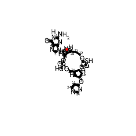 Nc1nc2c(ncn2[C@@H]2O[C@@H]3CCOP(=O)(S)O[C@H]4C[C@H](Oc5ccncn5)C[C@@H]4COP(=O)(S)O[C@@H]2[C@@H]3O)c(=O)[nH]1